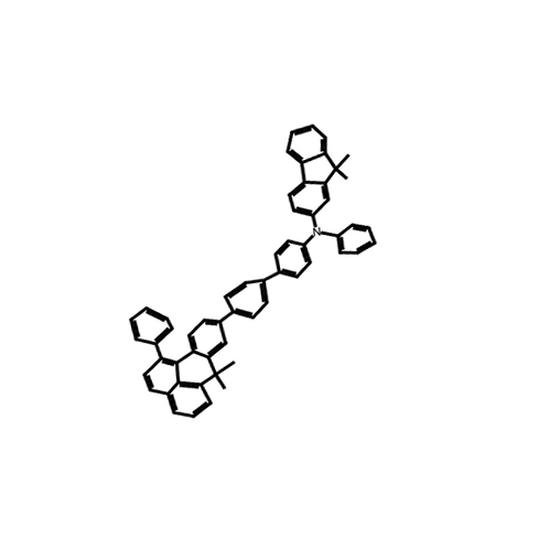 CC1(C)c2ccccc2-c2ccc(N(c3ccccc3)c3ccc(-c4ccc(-c5ccc6c(c5)C(C)(C)c5cccc7ccc(-c8ccccc8)c-6c57)cc4)cc3)cc21